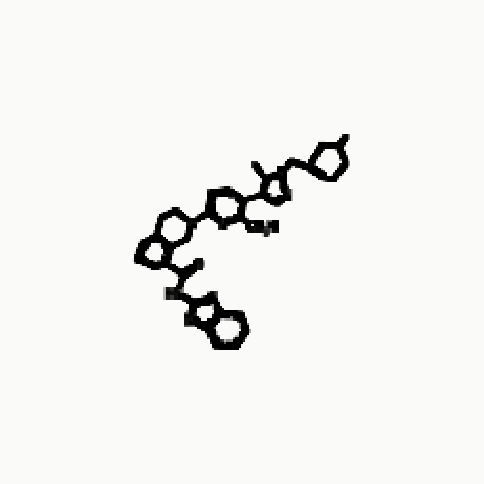 Cc1c(-c2ccc(N3CCc4cccc(C(=O)Nc5nc6ccccc6s5)c4C3)nc2C(=O)O)cnn1CC1=CCCC(C)C1